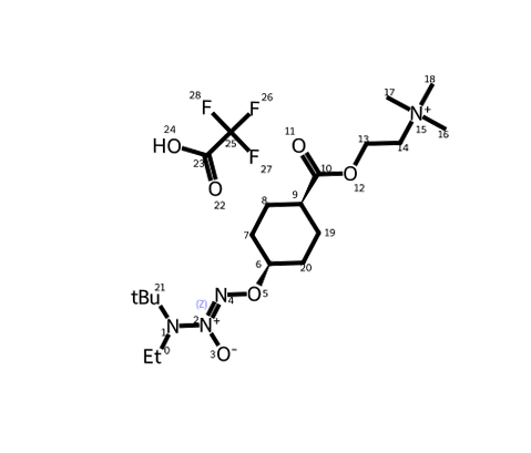 CCN(/[N+]([O-])=N/O[C@H]1CC[C@@H](C(=O)OCC[N+](C)(C)C)CC1)C(C)(C)C.O=C(O)C(F)(F)F